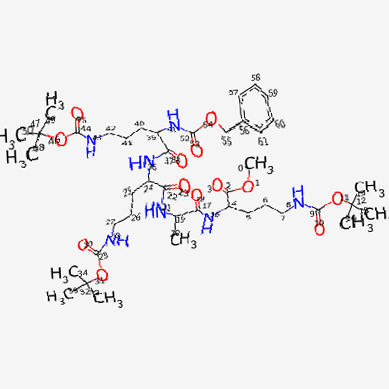 COC(=O)C(CCCNC(=O)OC(C)(C)C)NC(=O)C(C)NC(=O)C(CCCNC(=O)OC(C)(C)C)NC(=O)C(CCCNC(=O)OC(C)(C)C)NC(=O)OCc1ccccc1